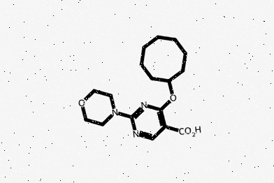 O=C(O)c1cnc(N2CCOCC2)nc1OC1CCCCCCC1